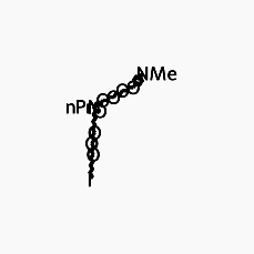 CCCN(CCOCCOCCOCCOc1ccc(NC)cc1)C(=O)CCCCCOCCOCCOCCCCCCI